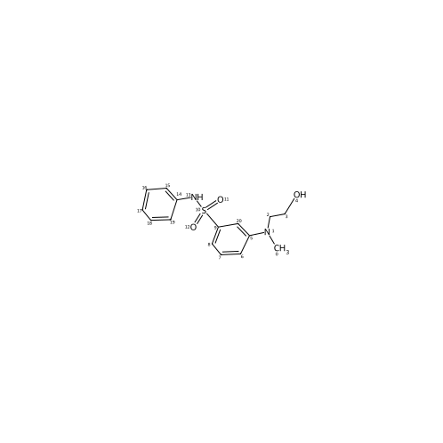 CN(CCO)c1cccc(S(=O)(=O)Nc2ccccc2)c1